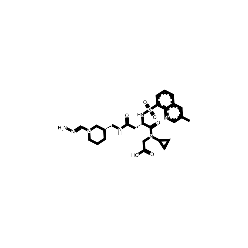 Cc1cnc2c(S(=O)(=O)N[C@@H](CC(=O)NC[C@@H]3CCCN(C=NN)C3)C(=O)N(CC(=O)O)C3CC3)cccc2c1